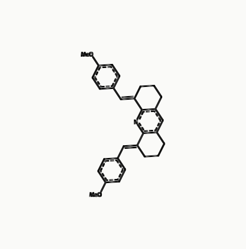 COc1ccc(C=C2CCCc3cc4c(nc32)C(=Cc2ccc(OC)cc2)CCC4)cc1